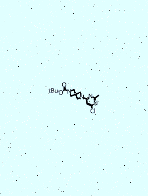 Cc1nc(Cl)cc(N2CC3(CN(C(=O)OC(C)(C)C)C3)C2)n1